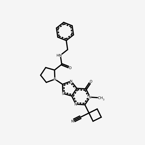 Cn1c(C2(C#N)CCC2)nc2sc(N3CCCC3C(=O)NCc3ccccc3)nc2c1=O